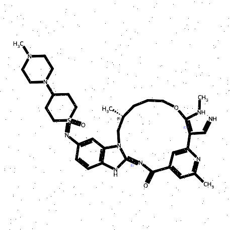 CN/C1=C(\C=N)c2cc(cc(C)n2)C(=O)/N=C2\Nc3ccc(N=S4(=O)CCC(N5CCN(C)CC5)CC4)cc3N2C[C@H](C)CCCO1